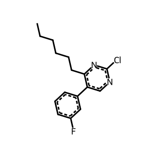 CCCCCCc1nc(Cl)ncc1-c1cccc(F)c1